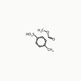 COC=O.Cc1ccc(S(=O)(=O)O)cc1